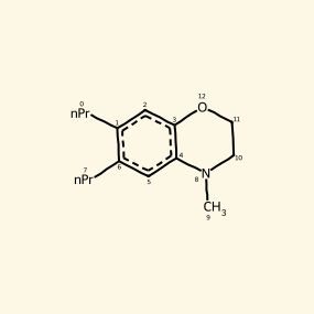 CCCc1cc2c(cc1CCC)N(C)CCO2